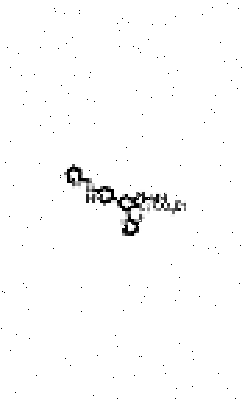 CCOC(=O)Nc1nc2cc(-c3ccc(NCc4ccccn4)nc3)cc(-c3ncccc3F)c2[nH]1